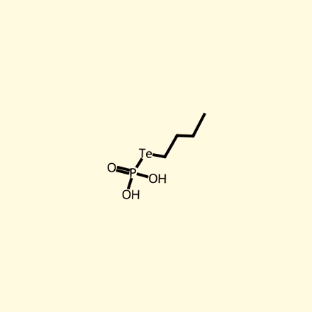 CCCC[Te]P(=O)(O)O